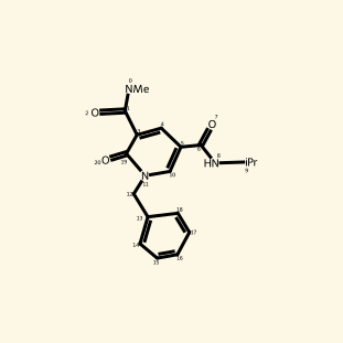 CNC(=O)c1cc(C(=O)NC(C)C)cn(Cc2ccccc2)c1=O